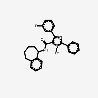 CCn1c(-c2ccccc2)nc(-c2cccc(F)c2)c1C(=O)NC1CCCCc2ccccc21